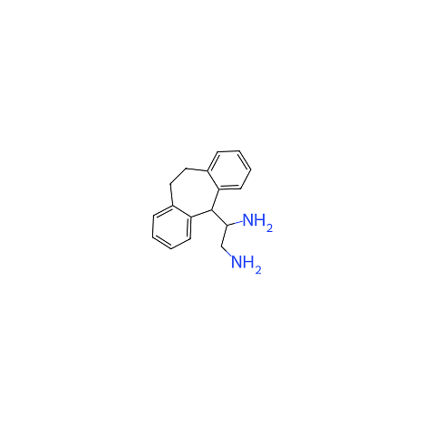 NCC(N)C1c2ccccc2CCc2ccccc21